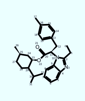 CCc1nc2ccccc2n1[C@H](Cc1ccc(C)cc1)C(=O)O[C@@H]1C[C@H](C)CCC1C(C)C